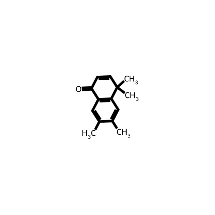 Cc1cc2c(cc1C)C(C)(C)C=CC2=O